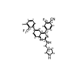 Cc1cccc(-c2ccc3nc(NC[C@H]4CCNC4)nc(-c4ccc(C#N)c(F)c4)c3c2)c1C(F)(F)F